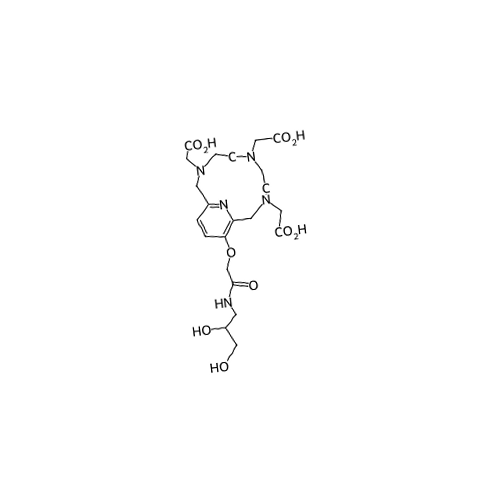 O=C(O)CN1CCN(CC(=O)O)Cc2ccc(OCC(=O)NCC(O)CO)c(n2)CN(CC(=O)O)CC1